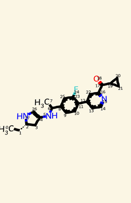 CC[C@H]1CC(NC(C)c2ccc(-c3ccnc(C(=O)C4CC4)c3)c(F)c2)=CN1